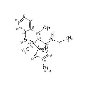 CCNC(=O)C1=C(O)c2ccccc2S[N+]1(C)c1ncc(C)s1